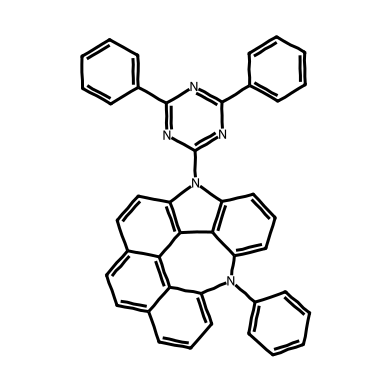 c1ccc(-c2nc(-c3ccccc3)nc(-n3c4ccc5ccc6cccc7c6c5c4c4c(cccc43)n7-c3ccccc3)n2)cc1